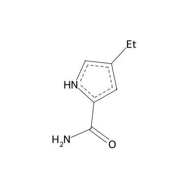 CCc1c[nH]c(C(N)=O)c1